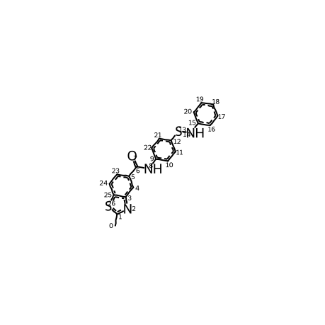 Cc1nc2cc(C(=O)Nc3ccc(SNc4ccccc4)cc3)ccc2s1